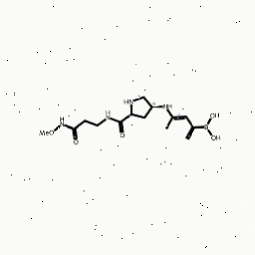 C=C(/C=C(\C)N[C@@H]1CNC(C(=O)NCCC(=O)NOC)C1)B(O)O